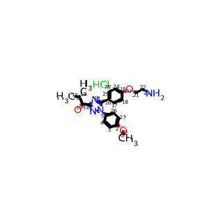 COc1ccc(-n2nc(C(=O)C(C)C)nc2-c2ccc(OCCN)cc2)cc1.Cl